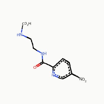 O=C(O)NCCNC(=O)c1ccc([N+](=O)[O-])cn1